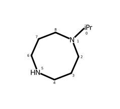 CC(C)N1CCCNCCC1